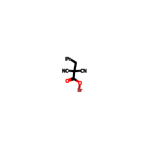 CC(C)CC(C#N)(C#N)C(=O)OBr